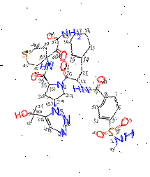 CNS(=O)(=O)c1ccc(C(=O)NC(CC2CCCCC2)C(=O)N2C[C@@H](n3nncc3C(C)(C)O)C[C@H]2C(=O)NC2(C(=O)C(N)=O)CCSCC2)cc1